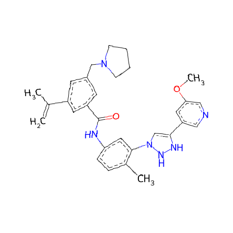 C=C(C)c1cc(CN2CCCC2)cc(C(=O)Nc2ccc(C)c(N3C=C(c4cncc(OC)c4)NN3)c2)c1